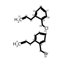 C=CCc1ccccc1CBr.C=CCc1ccccc1CCl